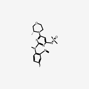 C=Nc1cc(F)ccc1N(C)c1nc(N=S(C)(C)=O)cc(N2CCOC[C@H]2C)n1